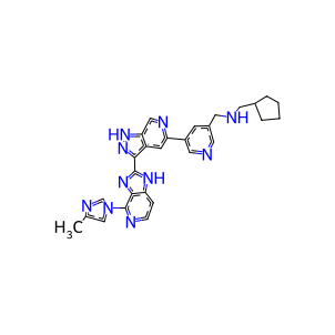 Cc1cn(-c2nccc3[nH]c(-c4n[nH]c5cnc(-c6cncc(CNCC7CCCC7)c6)cc45)nc23)cn1